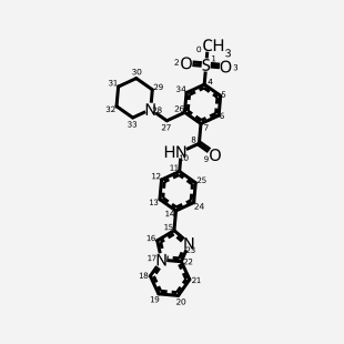 CS(=O)(=O)c1ccc(C(=O)Nc2ccc(-c3cn4ccccc4n3)cc2)c(CN2CCCCC2)c1